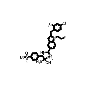 BC(B)(O)[C@H](NC(=O)c1ccc2c(c1)cc(Cc1ccc(Cl)cc1C(F)(F)F)n2CCF)c1ccc(S(=O)(=O)CC)cc1